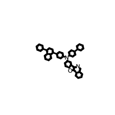 c1ccc(-c2ccc(N(c3ccc(-c4ccc(-c5ccccc5)c5ccccc45)cc3)c3ccc4oc5c6ccccc6cnc5c4c3)cc2)cc1